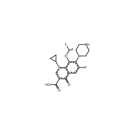 O=C(O)c1cn(C2CC2)c2c(OC(F)F)c(N3CCNCC3)c(F)cc2c1=O